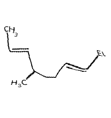 CC=CC(C)CC=CCC